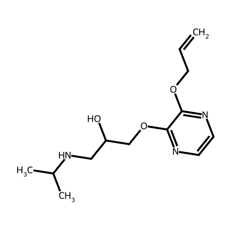 C=CCOc1nccnc1OCC(O)CNC(C)C